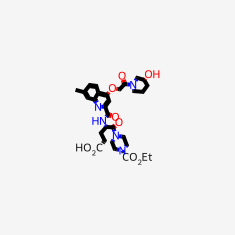 CCOC(=O)N1CCN(C(=O)C(CCC(=O)O)NC(=O)c2cc(OCC(=O)N3CCCC(O)C3)c3ccc(C)cc3n2)CC1